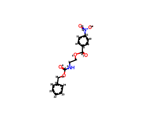 O=C(NCCOC(=O)c1ccc([N+](=O)[O-])cc1)OCc1ccccc1